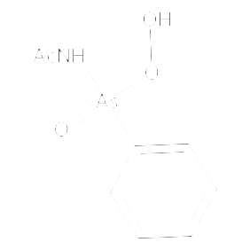 CC(=O)N[As](=O)(OO)c1ccccc1